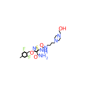 Cc1cc(F)c(COc2nsc(NC(=O)NCCCCN3CCN(CCO)CC3)c2C(N)=O)c(F)c1